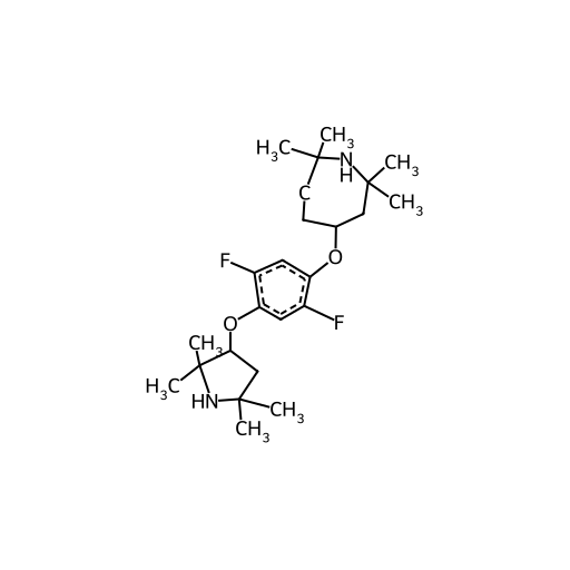 CC1(C)CCC(Oc2cc(F)c(OC3CC(C)(C)NC3(C)C)cc2F)CC(C)(C)N1